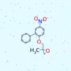 CC1(COc2ccc([N+](=O)[O-])cc2-c2ccccc2)CO1